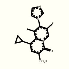 Cc1c(-n2ccnc2)c(F)cn2c(=O)c(C(=O)O)cc(C3CC3)c12